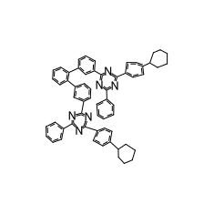 c1ccc(-c2nc(-c3ccc(C4CCCCC4)cc3)nc(-c3cccc(-c4ccccc4-c4cccc(-c5nc(-c6ccccc6)nc(-c6ccc(C7CCCCC7)cc6)n5)c4)c3)n2)cc1